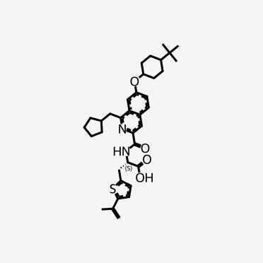 C=C(C)c1ccc(C[C@H](NC(=O)c2cc3ccc(OC4CCC(C(C)(C)C)CC4)cc3c(CC3CCCC3)n2)C(=O)O)s1